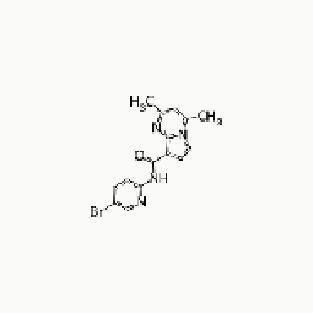 Cc1cc(C)n2ccc(C(=O)Nc3ccc(Br)cn3)c2n1